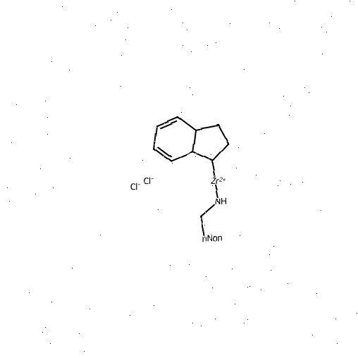 CCCCCCCCCC[NH][Zr+2][CH]1CCC2C=CC=CC21.[Cl-].[Cl-]